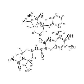 CCCC(=O)N1C(C)(C)CC(OC(=O)C(Cc2cc(C(C)(C)C)c(O)c(C(C)(C)c3ccccc3)c2)C(=O)OC2CC(C)(C)N(C(=O)CCC)C(C)(CC(C)C)C2)CC1(C)CC(C)C